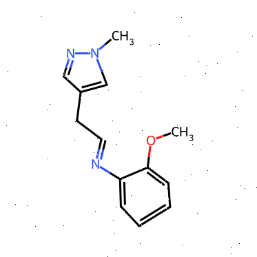 COc1ccccc1N=CCc1cnn(C)c1